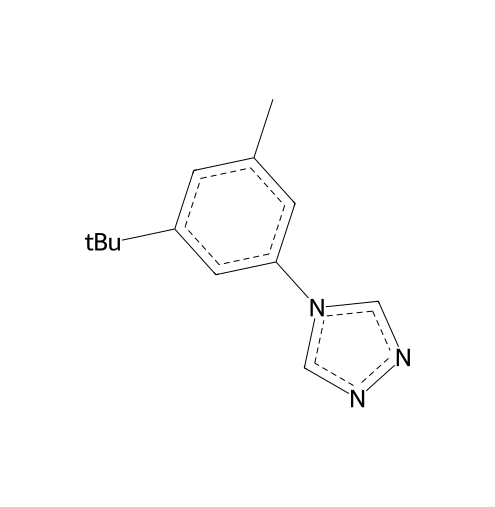 Cc1cc(-n2cnnc2)cc(C(C)(C)C)c1